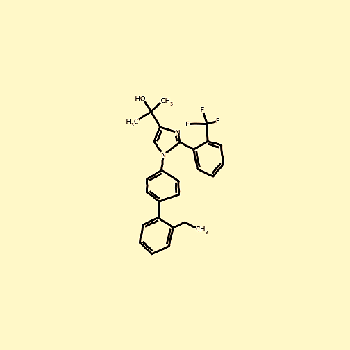 CCc1ccccc1-c1ccc(-n2cc(C(C)(C)O)nc2-c2ccccc2C(F)(F)F)cc1